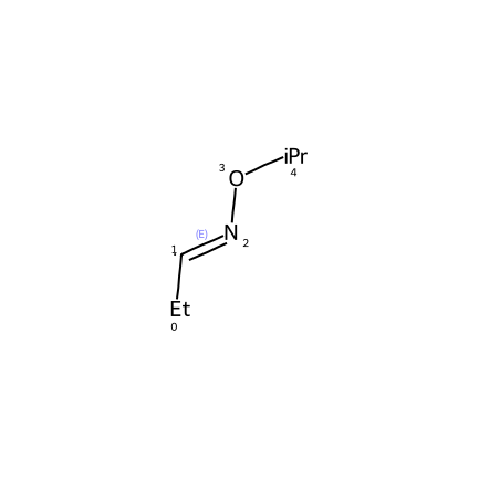 CC/[C]=N/OC(C)C